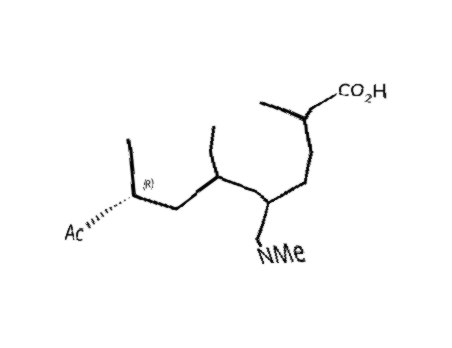 CNC(CC(C)C(=O)O)C(C)C[C@@H](C)C(C)=O